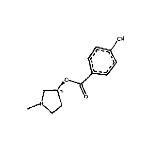 CN1CC[C@H](OC(=O)c2ccc(C#N)cc2)C1